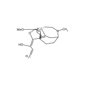 C=C/C(O)=C1OC2C(OC)=CC=C3CCC4C/C(C)=C/1[C@]32CCN4C